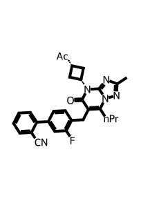 CCCc1c(Cc2ccc(-c3ccccc3C#N)cc2F)c(=O)n([C@H]2C[C@@H](C(C)=O)C2)c2nc(C)nn12